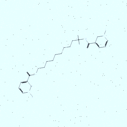 CN1C=CC=C(C(=O)NCCCCCCCCCC(I)(I)NC(=O)C2=CC=CN(C)C2)C1